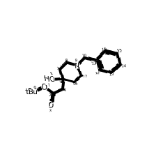 CC(C)(C)OC(=O)CC1(O)CCN(Cc2ccccc2)CC1